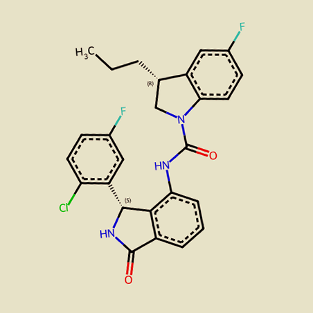 CCC[C@H]1CN(C(=O)Nc2cccc3c2[C@@H](c2cc(F)ccc2Cl)NC3=O)c2ccc(F)cc21